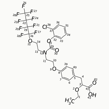 CCOC(Cc1ccc(OCCN(CCOC(F)(F)C(F)(F)C(F)(F)C(F)(F)F)C(=O)Oc2ccccc2Cl)cc1)C(=O)O